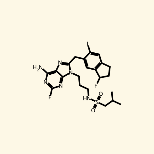 CC(C)CS(=O)(=O)NCCCn1c(Cc2cc3c(cc2I)CCC3F)nc2c(N)nc(F)nc21